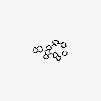 c1ccc(-c2cccc(-c3ccnc(-c4ccc5c(-c6ccc7ccccc7c6)c6ccccc6c(-c6ccc7ccccc7c6)c5c4)n3)c2)nc1